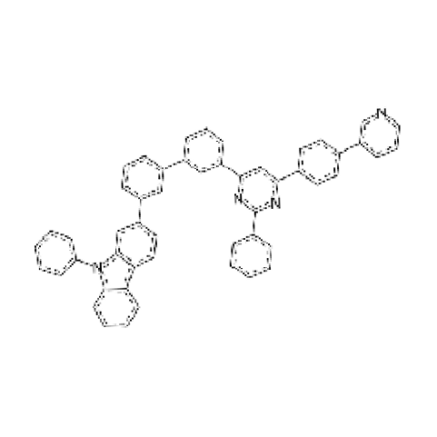 c1ccc(-c2nc(-c3ccc(-c4cccnc4)cc3)cc(-c3cccc(-c4cccc(-c5ccc6c7ccccc7n(-c7ccccc7)c6c5)c4)c3)n2)cc1